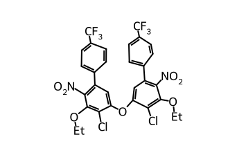 CCOc1c(Cl)c(Oc2cc(-c3ccc(C(F)(F)F)cc3)c([N+](=O)[O-])c(OCC)c2Cl)cc(-c2ccc(C(F)(F)F)cc2)c1[N+](=O)[O-]